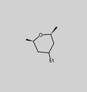 CCC1C[C@@H](C)O[C@@H](C)C1